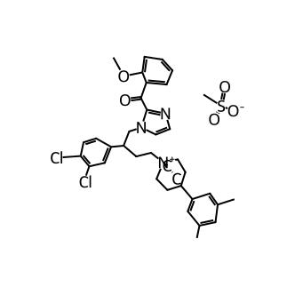 COc1ccccc1C(=O)c1nccn1CC(CC[N+]12CCC(c3cc(C)cc(C)c3)(CC1)CC2)c1ccc(Cl)c(Cl)c1.CS(=O)(=O)[O-]